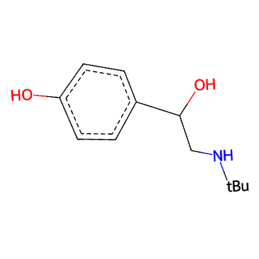 CC(C)(C)NCC(O)c1ccc(O)cc1